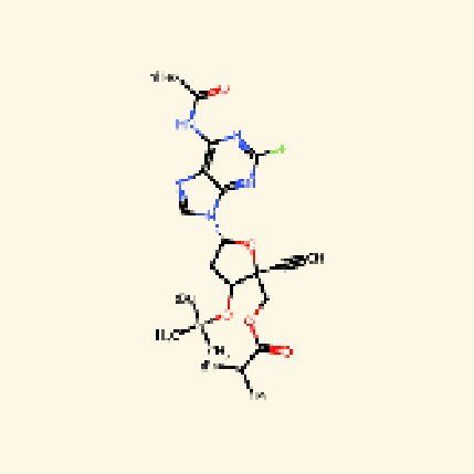 C#C[C@]1(COC(=O)C(CCC)CCC)O[C@@H](n2cnc3c(NC(=O)CCCCCC)nc(F)nc32)CC1O[Si](C)(C)C(C)(C)C